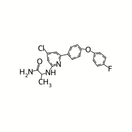 CC(Nc1cc(Cl)cc(-c2ccc(Oc3ccc(F)cc3)cc2)n1)C(N)=O